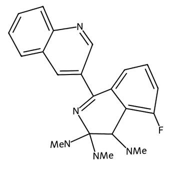 CNC1c2c(F)cccc2C(c2cnc3ccccc3c2)=NC1(NC)NC